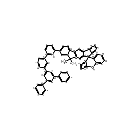 CC1(C)c2cc(-c3cccc(-c4cccc(-c5cc(-c6ccccc6)cc(-c6ccccc6)c5)c4)n3)ccc2-c2cc3c(cc21)C1(c2ccccc2Sc2ccccc21)c1ccccc1-3